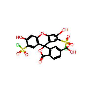 O=C(O)c1ccc2c(c1)C1(OC2=O)c2cc(S(=O)(=O)Cl)c(O)cc2Oc2cc(O)c(S(=O)(=O)Cl)cc21